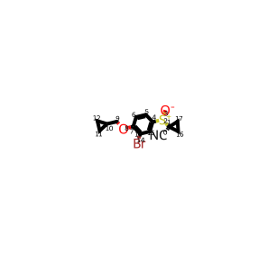 N#CC1([S+]([O-])c2ccc(OCC3CC3)c(Br)c2)CC1